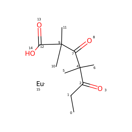 CCC(=O)C(C)(C)C(=O)C(C)(C)C(=O)O.[Eu]